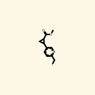 COC(=O)C1CC1c1ccc(CI)nc1